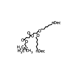 CCCCCCCCCCCCCCCCOCC(COC(=O)CCC(=O)OCC[N+](C)(C)C)OCCCCCCCCCCCCCCCC